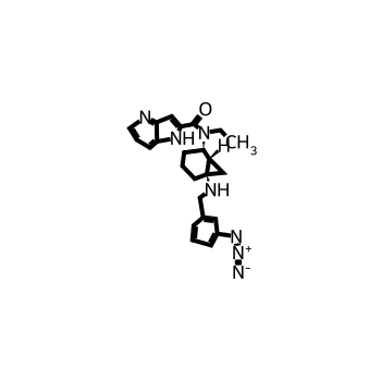 CCN(C(=O)c1cc2ncccc2[nH]1)[C@H]1CCC[C@]2(NCc3cccc(N=[N+]=[N-])c3)C[C@@H]12